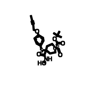 CC#CCOc1ccc(SC2(C(=O)NO)CC[N+](C=O)(C(=O)OC(C)(C)C)CC2)cc1